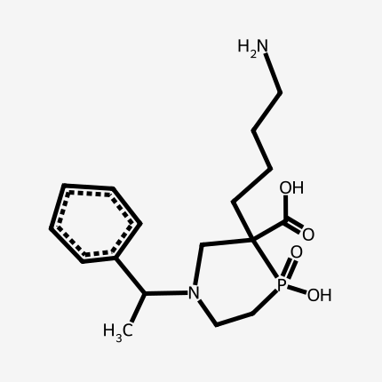 CC(c1ccccc1)N1CCP(=O)(O)C(CCCCN)(C(=O)O)C1